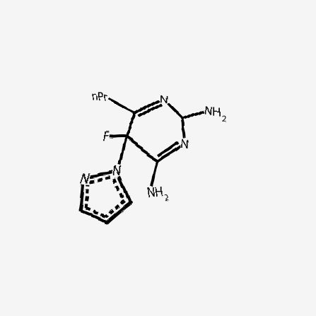 CCCC1=NC(N)N=C(N)C1(F)n1cccn1